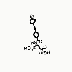 CCc1ccc(C#Cc2ccc(C(=O)NN(CCC(=O)NO)C(=O)O)cc2)cc1